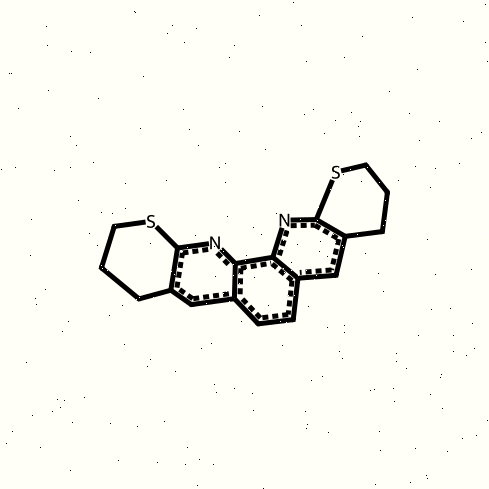 c1cc2cc3c(nc2c2nc4c(cc12)CCCS4)SCCC3